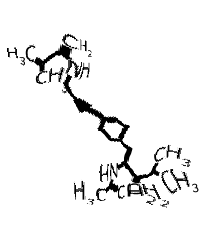 C=C(C)NC(Cc1ccc(C#CCNC(=C)C(C)C)cc1)C(=C)C(C)C